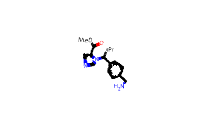 CCCC(c1ccc(CN)cc1)n1cncc1C(=O)OC